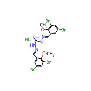 COc1c(Br)cc(Br)cc1C=NNC(=N)NN=Cc1cc(Br)cc(Br)c1OC.Cl